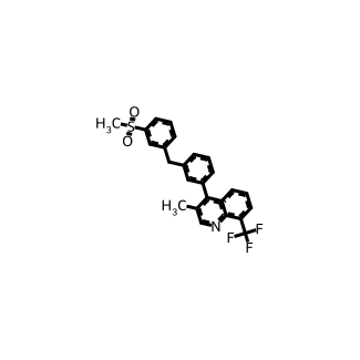 Cc1cnc2c(C(F)(F)F)cccc2c1-c1cccc(Cc2cccc(S(C)(=O)=O)c2)c1